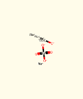 O=C([O-])[O-].[Na+].[Na+].[Na+].[Na+].[O]=[Cr](=[O])([O-])[O-]